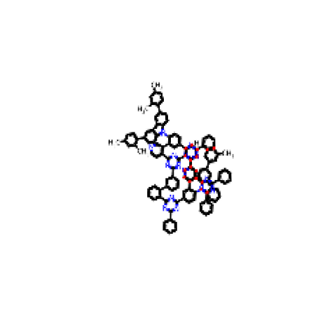 Cc1cc(C)cc(-c2ccc3c(c2)c2ccccc2n3-c2ccc(-c3nc(-c4ccccc4)nc(-c4ccccc4-c4cccc(-c5nc(-c6ccccc6)nc(-c6ccncc6-c6cc(-c7nc(-c8ccccc8)nc(-c8ccccc8)n7)ccc6-n6c7ccc(-c8ccc(C)cc8C)cc7c7cc(-c8ccc(C)cc8C)ccc76)n5)c4)n3)cc2-c2cnccc2-c2nc(-c3ccccc3)nc(-c3ccccc3)n2)c1